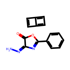 NN=C1N=C(c2ccccc2)OC1=O.c1cc2ccc1-2